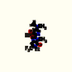 CCn1c(C(F)(F)F)cc2nc(-c3ncc(N(C)C4CC4)cc3S(=O)(=O)CC)n(C)c2c1=O